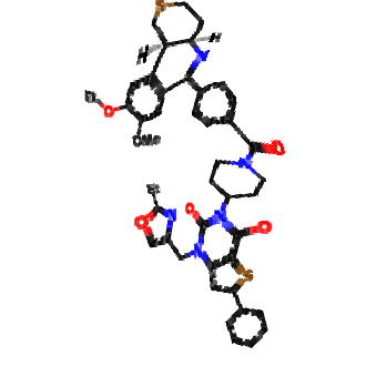 CCOc1cc2c(cc1OC)C(c1ccc(C(=O)N3CCC(n4c(=O)c5sc(-c6ccccc6)cc5n(Cc5coc(CC)n5)c4=O)CC3)cc1)=N[C@@H]1CCSC[C@H]21